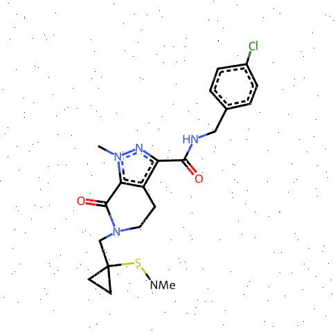 CNSC1(CN2CCc3c(C(=O)NCc4ccc(Cl)cc4)nn(C)c3C2=O)CC1